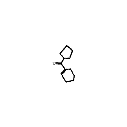 O=C(C1=CCCCC1)C1CCCC1